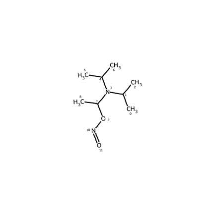 CC(C)N(C(C)C)C(C)ON=O